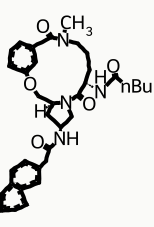 CCCCC(=O)N[C@H]1CCCN(C)C(=O)c2cccc(c2)OC[C@@H]2C[C@H](NC(=O)Cc3ccc4ccccc4c3)CN2C1=O